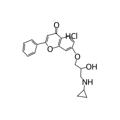 Cl.O=c1cc(-c2ccccc2)oc2cc(OCC(O)CNC3CC3)ccc12